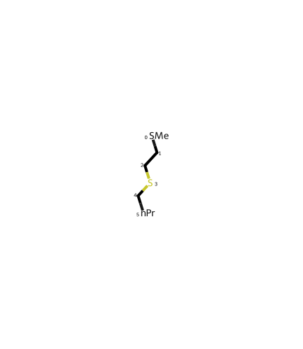 [CH2]SCCSCCCC